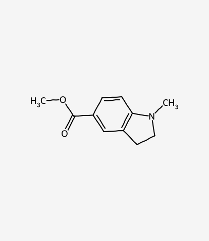 COC(=O)c1ccc2c(c1)CCN2C